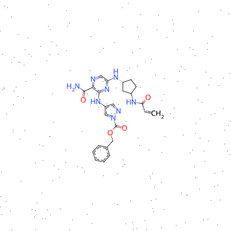 C=CC(=O)NC1CC[C@@H](Nc2cnc(C(N)=O)c(Nc3cnn(C(=O)OCc4ccccc4)c3)n2)C1